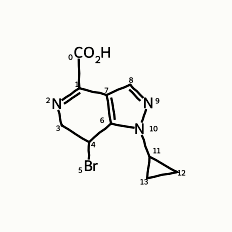 O=C(O)C1=NCC(Br)c2c1cnn2C1CC1